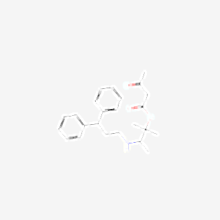 CC(=O)CC(=O)OC(C)(C)C(C)NCCC(c1ccccc1)c1ccccc1